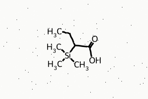 CCC(C(=O)O)[Si](C)(C)C